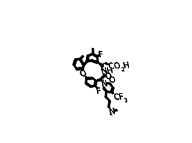 Cc1cc2cc(c1F)[C@H](CC(=O)O)NC(=O)[C@H](n1cc(CCCN(C)C)c(C(F)(F)F)cc1=O)c1cc(ccc1F)Oc1cccc(C)c1-2